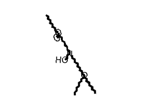 CCCCCCCCCOC(=O)CCCCCCCN(CCO)CCCCCCCCCCOC(CCCCCCCC)CCCCCCCC